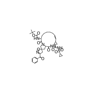 CC(C)(C)OC(=O)NC1CCCCC/C=C\C2CC2(C(=O)NS(=O)(=O)C2CC2)NC(=O)C2CC3(CC(C(=O)c4ccccc4)=NO3)CN2C1=O